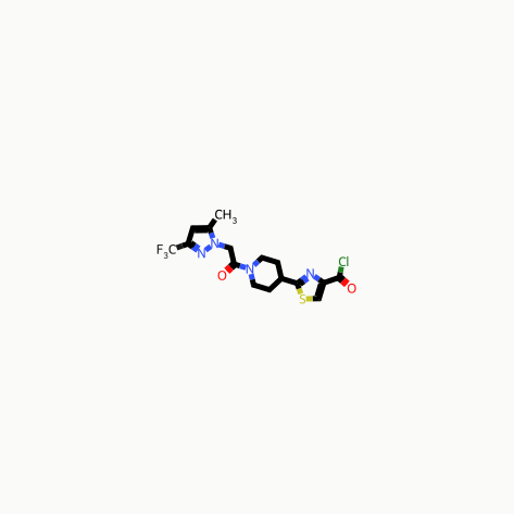 Cc1cc(C(F)(F)F)nn1CC(=O)N1CCC(c2nc(C(=O)Cl)cs2)CC1